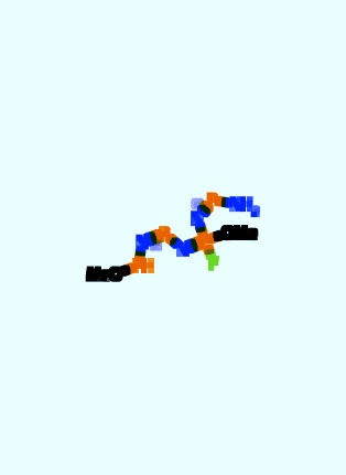 COP/N=P\N=P(F)(/N=P\N)OC